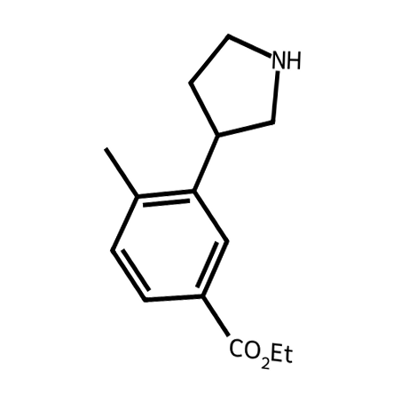 CCOC(=O)c1ccc(C)c(C2CCNC2)c1